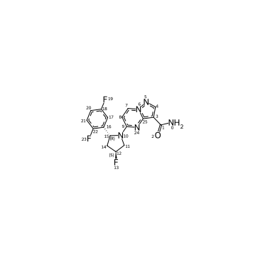 NC(=O)c1cnn2ccc(N3C[C@@H](F)C[C@@H]3c3cc(F)ccc3F)nc12